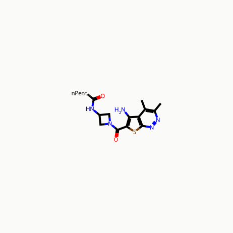 CCCCCC(=O)NC1CN(C(=O)c2sc3nnc(C)c(C)c3c2N)C1